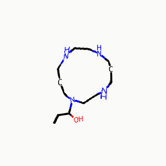 CCC(O)N1CCCNCCNCCCNCC1